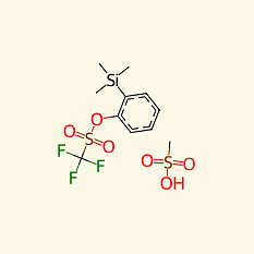 CS(=O)(=O)O.C[Si](C)(C)c1ccccc1OS(=O)(=O)C(F)(F)F